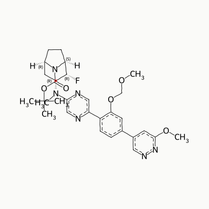 COCOc1cc(-c2cnnc(OC)c2)ccc1-c1cnc(N(C)[C@@H]2C[C@H]3CC[C@@H]([C@@H]2F)N3C(=O)OC(C)(C)C)cn1